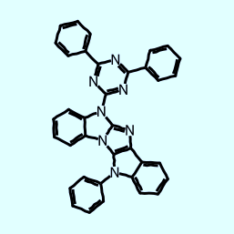 c1ccc(-c2nc(-c3ccccc3)nc(-n3c4ccccc4n4c3nc3c5ccccc5n(-c5ccccc5)c34)n2)cc1